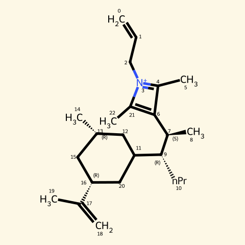 C=CC[N+]1=C(C)C([C@@H](C)[C@H](CCC)C2C[C@@H](C)C[C@@H](C(=C)C)C2)=C1C